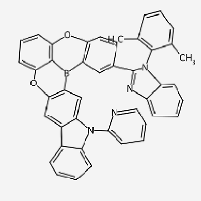 Cc1cccc(C)c1-n1c(-c2ccc3c(c2)B2c4cc5c(cc4Oc4cccc(c42)O3)c2ccccc2n5-c2ccccn2)nc2ccccc21